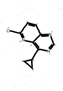 Clc1ccc2ncnc(C3CC3)c2n1